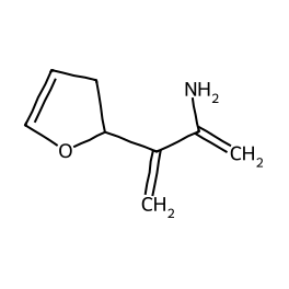 C=C(N)C(=C)C1CC=CO1